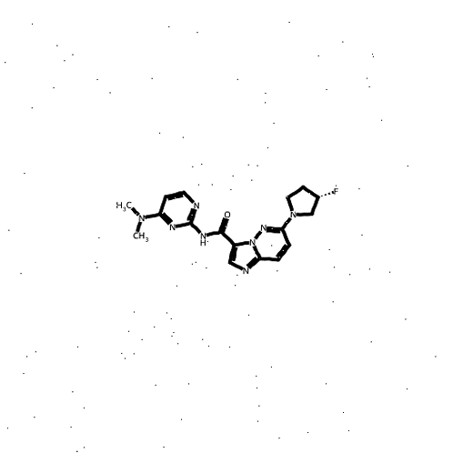 CN(C)c1ccnc(NC(=O)c2cnc3ccc(N4CC[C@H](F)C4)nn23)n1